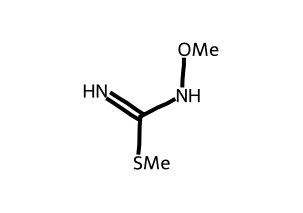 CONC(=N)SC